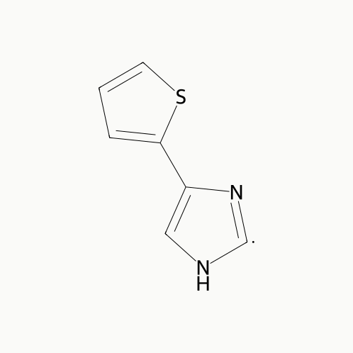 [c]1nc(-c2cccs2)c[nH]1